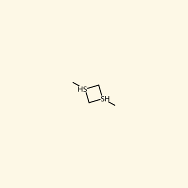 C[SH]1C[SH](C)C1